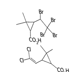 CC1(C)C(C(=O)O)C1C(Br)C(Br)(Br)Br.CC1(C)C(C=C(Cl)Cl)C1C(=O)O